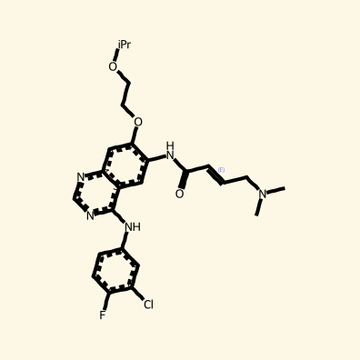 CC(C)OCCOc1cc2ncnc(Nc3ccc(F)c(Cl)c3)c2cc1NC(=O)/C=C/CN(C)C